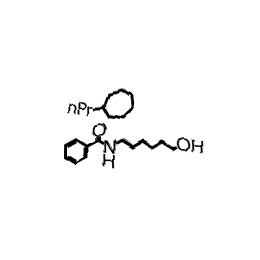 CCCC1CCCCCC1.O=C(NCCCCCCO)c1ccccc1